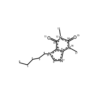 CCCCCn1cnc2c1c(=O)n(C)c(=O)n2C